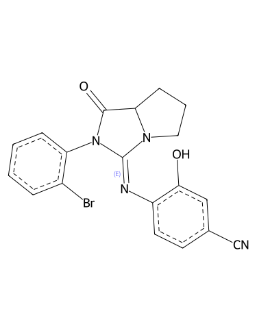 N#Cc1ccc(/N=C2/N(c3ccccc3Br)C(=O)C3CCCN23)c(O)c1